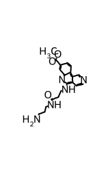 COC(=O)c1ccc2c(c1)nc(NCCC(=O)NCCCN)c1ccncc12